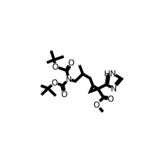 COC(=O)C1(c2c[nH]cn2)CC1CC(C)CN(C(=O)OC(C)(C)C)C(=O)OC(C)(C)C